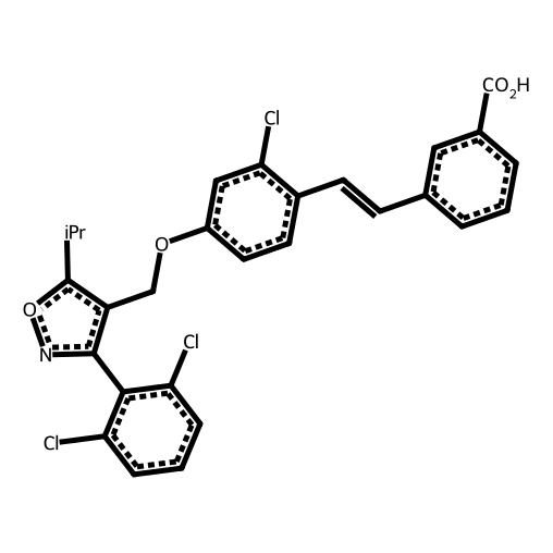 CC(C)c1onc(-c2c(Cl)cccc2Cl)c1COc1ccc(C=Cc2cccc(C(=O)O)c2)c(Cl)c1